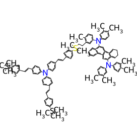 Cc1ccc(N(c2ccc(C)c(C)c2)c2cc3c(cc(N(c4ccc(C)c(C)c4)c4ccc(C)c(CCS(C)(C)c5ccc(/C=C/c6ccc(N(c7ccc(/C=C/c8ccc([Si](C)(C)C)cc8)cc7)c7ccc(/C=C/c8ccc([Si](C)(C)C)cc8)cc7)cc6)cc5)c4)c4ccccc43)c3c2=CCCC=3)cc1C